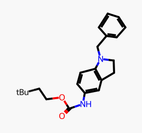 CC(C)(C)CCOC(=O)Nc1ccc2c(c1)CCN2Cc1ccccc1